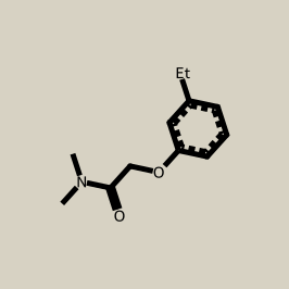 CCc1cccc(OCC(=O)N(C)C)c1